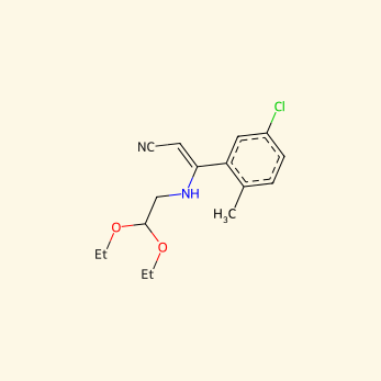 CCOC(CNC(=CC#N)c1cc(Cl)ccc1C)OCC